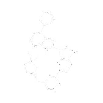 FC1(F)CCN(Cc2cncc(-c3ccc4[nH]nc(-c5nc6c(-c7cccnc7)ccnc6[nH]5)c4n3)c2)C1